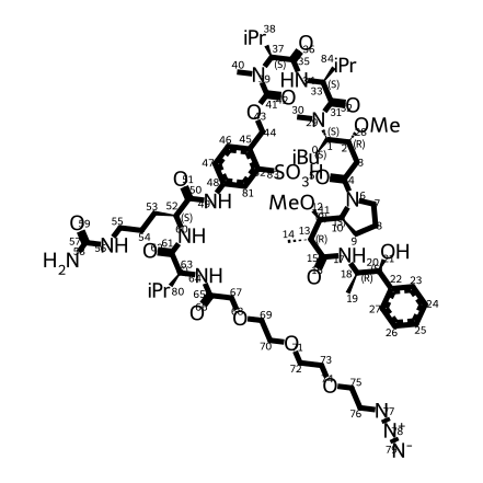 CC[C@H](C)[C@@H]([C@@H](CC(=O)N1CCC[C@H]1[C@H](OC)[C@@H](C)C(=O)N[C@H](C)[C@@H](O)c1ccccc1)OC)N(C)C(=O)[C@@H](NC(=O)[C@H](C(C)C)N(C)C(=O)OCc1ccc(NC(=O)[C@H](CCCNC(N)=O)NC(=O)[C@@H](NC(=O)COCCOCCOCCN=[N+]=[N-])C(C)C)cc1S(=O)(=O)O)C(C)C